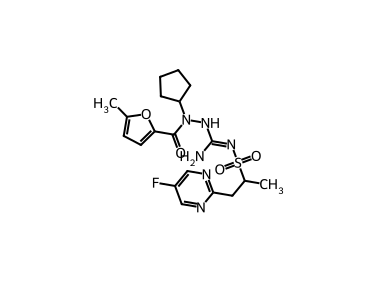 Cc1ccc(C(=O)N(NC(N)=NS(=O)(=O)C(C)Cc2ncc(F)cn2)C2CCCC2)o1